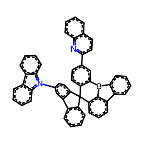 c1ccc2c(c1)B1c3cc(-c4ccc5ccccc5n4)ccc3C3(c4ccccc4-c4cc(-n5c6ccccc6c6ccccc65)ccc43)c3cccc-2c31